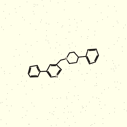 c1ccc(-c2cncc(CN3CCC(c4ccccc4)CC3)c2)cc1